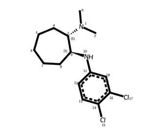 CN(C)[C@H]1CCCCC[C@@H]1Nc1ccc(Cl)c(Cl)c1